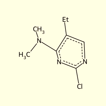 CCc1cnc(Cl)nc1N(C)C